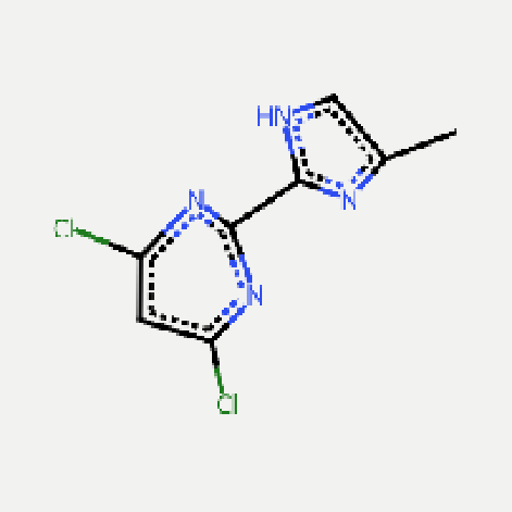 Cc1c[nH]c(-c2nc(Cl)cc(Cl)n2)n1